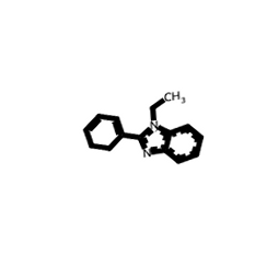 CCn1c(C2=CC=CCC2)nc2ccccc21